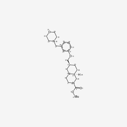 CC(C)(C)OC(=O)N1CCN2C[C@@H](COc3cccc(CN4CCOCC4)c3)CC[C@H]2C1